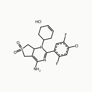 Cl.NC1=C2CS(=O)(=O)CC2N(C2CC=CCC2)C(c2cc(F)c(Cl)cc2F)=N1